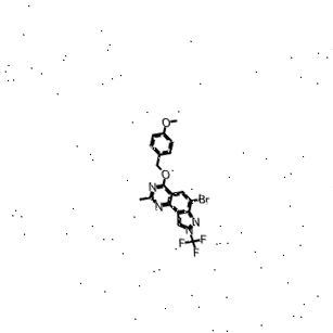 COc1ccc(COc2nc(C)nc3c2cc(Br)c2nn(C(F)(F)F)cc23)cc1